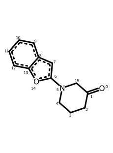 O=C1CCCN(c2cc3ccccc3o2)C1